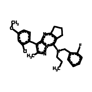 CCCN(Cc1ccccc1F)c1c2c(nc3c(-c4ccc(OC)cc4Cl)c(C)nn13)CCC2